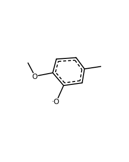 COc1ccc(C)cc1[O]